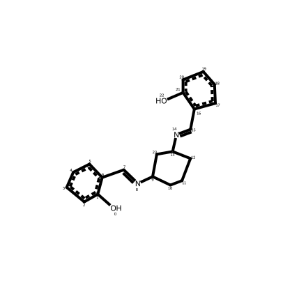 Oc1ccccc1C=NC1CCCC(N=Cc2ccccc2O)C1